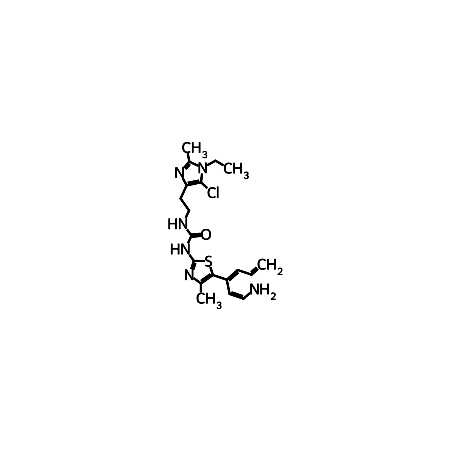 C=C/C=C(\C=C/N)c1sc(NC(=O)NCCc2nc(C)n(CC)c2Cl)nc1C